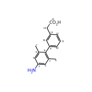 Cc1cc(N)cc(C)c1-c1cccc(CC(=O)O)c1